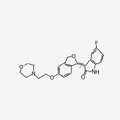 O=C1Nc2ccc(F)cc2/C1=C1\OCc2cc(OCCN3CCOCC3)ccc21